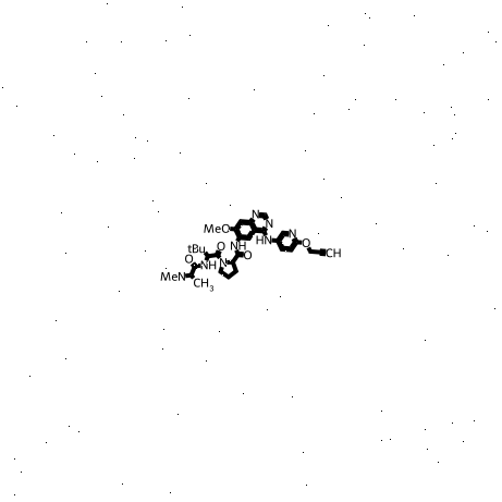 C#CCOc1ccc(Nc2ncnc3cc(OC)c(NC(=O)C4CCCN4C(=O)C(NC(=O)C(C)NC)C(C)(C)C)cc23)cn1